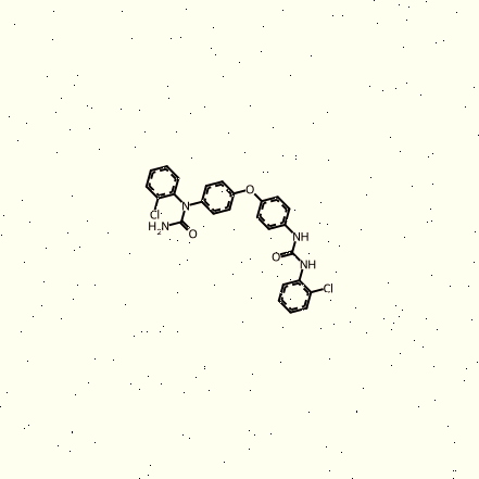 NC(=O)N(c1ccc(Oc2ccc(NC(=O)Nc3ccccc3Cl)cc2)cc1)c1ccccc1Cl